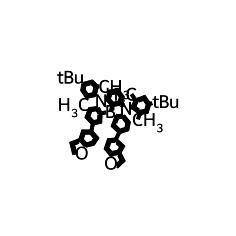 Cc1cc(C(C)(C)C)cc(C)c1N1c2ccc(-c3ccc4occc4c3)cc2B2c3cc(-c4ccc5occc5c4)ccc3N(c3c(C)cc(C(C)(C)C)cc3C)c3cccc1c32